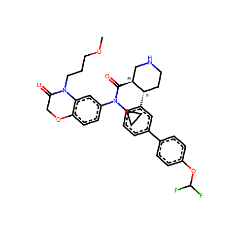 COCCCN1C(=O)COc2ccc(N(C(=O)[C@H]3CNCC[C@@H]3c3cccc(-c4ccc(OC(F)F)cc4)c3)C3CC3)cc21